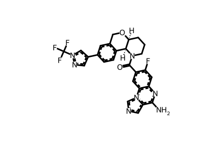 Nc1nc2cc(F)c(C(=O)N3CCC[C@@H]4OCc5cc(-c6cnn(C(F)(F)F)c6)ccc5[C@@H]43)cc2n2cncc12